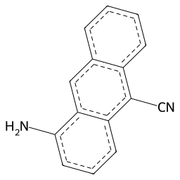 N#Cc1c2ccccc2cc2c(N)cccc12